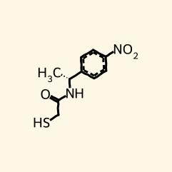 C[C@@H](NC(=O)CS)c1ccc([N+](=O)[O-])cc1